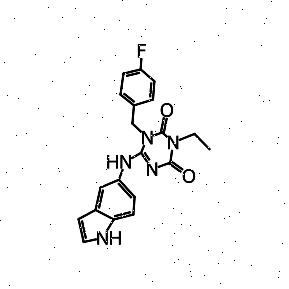 CCn1c(=O)nc(Nc2ccc3[nH]ccc3c2)n(Cc2ccc(F)cc2)c1=O